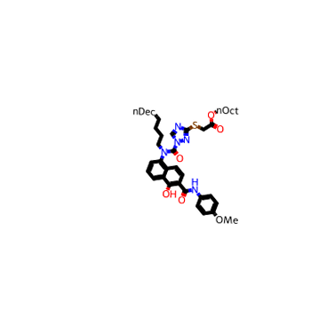 CCCCCCCCCCCCCCN(C(=O)n1cnc(SCC(=O)OCCCCCCCC)n1)c1cccc2c(O)c(C(=O)Nc3ccc(OC)cc3)ccc12